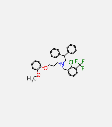 COc1ccccc1OCCCN(Cc1cccc(C(F)(F)F)c1Cl)CC(c1ccccc1)c1ccccc1